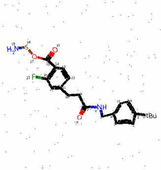 CC(C)(C)c1ccc(CNC(=O)CCc2ccc(C(=O)OSN)c(F)c2)cc1